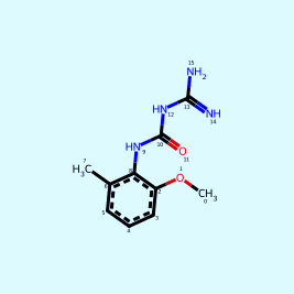 COc1cccc(C)c1NC(=O)NC(=N)N